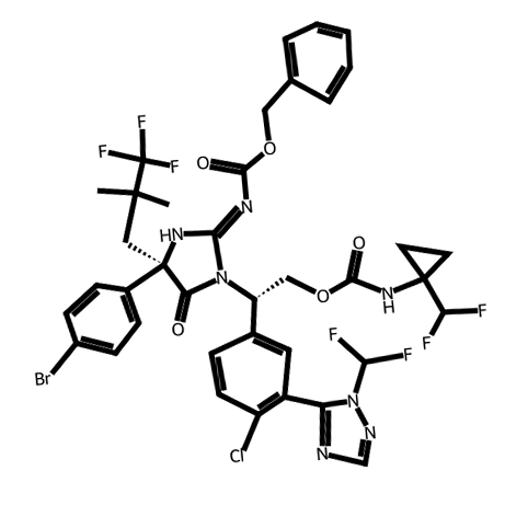 CC(C)(C[C@]1(c2ccc(Br)cc2)NC(=NC(=O)OCc2ccccc2)N([C@H](COC(=O)NC2(C(F)F)CC2)c2ccc(Cl)c(-c3ncnn3C(F)F)c2)C1=O)C(F)(F)F